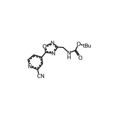 CC(C)(C)OC(=O)NCc1noc(-c2ccnc(C#N)c2)n1